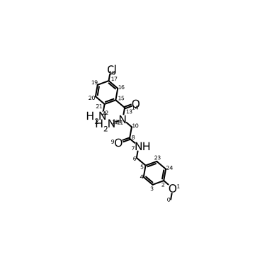 COc1ccc(CNC(=O)CN(N)C(=O)c2cc(Cl)ccc2N)cc1